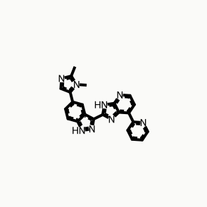 Cc1ncc(-c2ccc3[nH]nc(-c4nc5c(-c6ccccn6)ccnc5[nH]4)c3c2)n1C